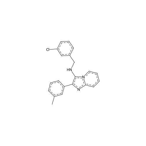 Cc1cccc(-c2nc3ccccn3c2NCc2cccc(Cl)c2)c1